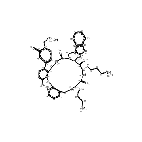 Cc1ccc(-c2ccn(CC(=O)O)c(=O)c2)c2c1Sc1ncccc1CN[C@@H](CCCN)C(=O)N[C@@H](CCCCN)C(=O)N(C)[C@@H](Cc1c[nH]c3ccccc13)C(=O)NC2